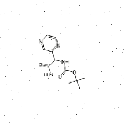 CC(C)(C)OC(=O)NC(C(N)=O)c1cnccn1